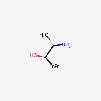 CCC[C@@H](O)[C@H](C)N